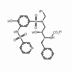 CC(C)CN(C[C@H](O)[C@H](Cc1ccccc1)NC(=O)O)S(=O)(=O)c1ccc(O)c(NS(=O)(=O)c2cccnc2)c1